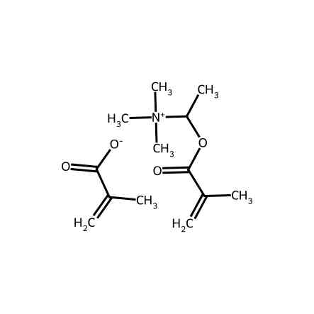 C=C(C)C(=O)OC(C)[N+](C)(C)C.C=C(C)C(=O)[O-]